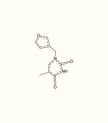 Cc1cn(Cc2ccoc2)c(=O)[nH]c1=O